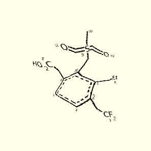 CCc1c(C(F)(F)F)ccc(C(=O)O)c1S(C)(=O)=O